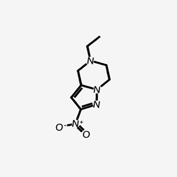 CCN1CCn2nc([N+](=O)[O-])cc2C1